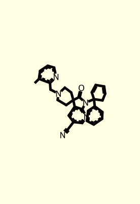 Cc1cccnc1CN1CCC2(CC1)C(=O)N(C1(c3ccccc3)C=CC=CC1)c1ncc(C#N)cc12